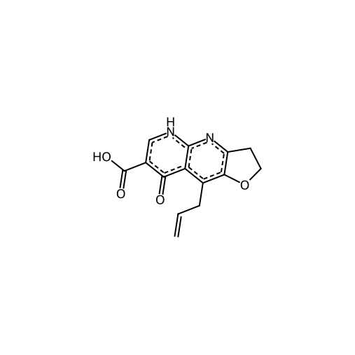 C=CCc1c2c(nc3[nH]cc(C(=O)O)c(=O)c13)CCO2